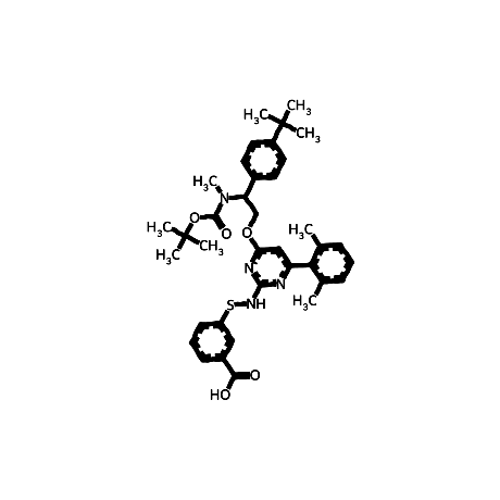 Cc1cccc(C)c1-c1cc(OCC(c2ccc(C(C)(C)C)cc2)N(C)C(=O)OC(C)(C)C)nc(NSc2cccc(C(=O)O)c2)n1